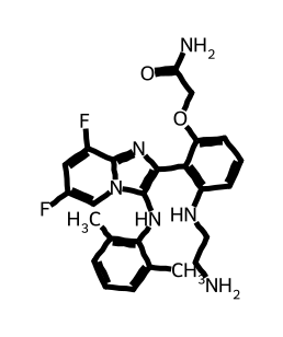 Cc1cccc(C)c1Nc1c(-c2c(NCCN)cccc2OCC(N)=O)nc2c(F)cc(F)cn12